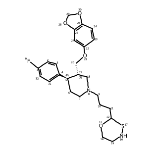 Fc1ccc([C@@H]2CCN(CCCC3OCCNS3)C[C@H]2COc2ccc3c(c2)OCO3)cc1